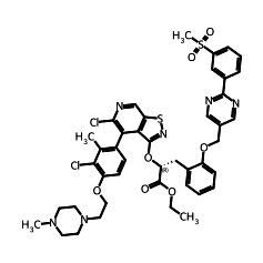 CCOC(=O)[C@@H](Cc1ccccc1OCc1cnc(-c2cccc(S(C)(=O)=O)c2)nc1)Oc1nsc2cnc(Cl)c(-c3ccc(OCCN4CCN(C)CC4)c(Cl)c3C)c12